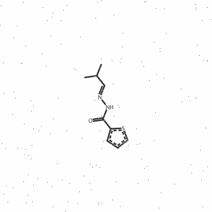 CC(C)/C=N/NC(=O)c1cccs1